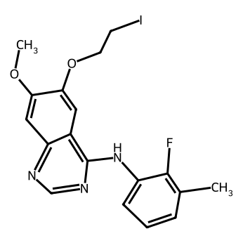 COc1cc2ncnc(Nc3cccc(C)c3F)c2cc1OCCI